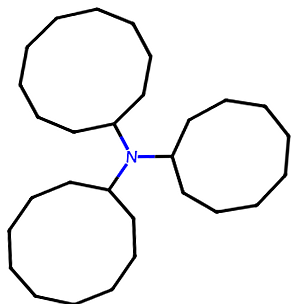 C1CCCCC(N(C2CCCCCCCCC2)C2CCCCCCCC2)CCCC1